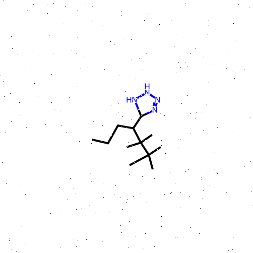 CCCC(C1N=NNN1)C(C)(C)C(C)(C)C